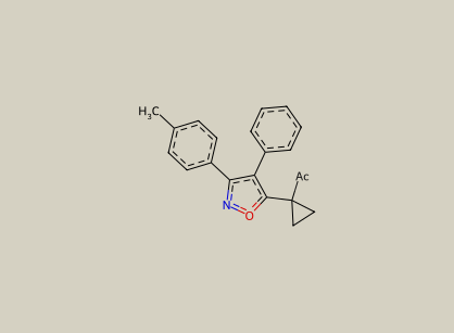 CC(=O)C1(c2onc(-c3ccc(C)cc3)c2-c2ccccc2)CC1